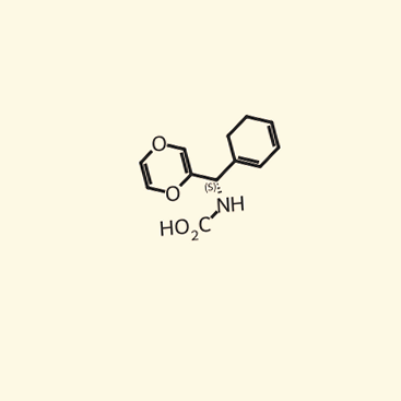 O=C(O)N[C@@H](C1=CC=CCC1)C1=COC=CO1